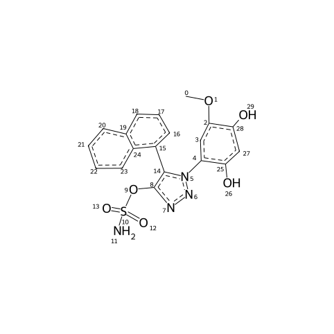 COc1cc(-n2nnc(OS(N)(=O)=O)c2-c2cccc3ccccc23)c(O)cc1O